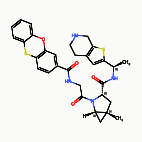 C[C@@H](NC(=O)[C@@H]1C[C@]2(C)C[C@@H]2N1C(=O)CNC(=O)c1ccc2c(c1)Oc1ccccc1S2)c1cc2c(s1)CNCC2